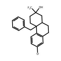 [O]c1ccc2c(c1)CCC1CC(O)(C(F)(F)F)CCC21Cc1ccccc1